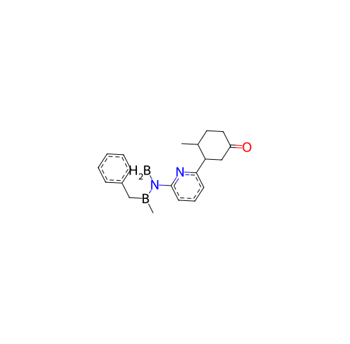 BN(B(C)Cc1ccccc1)c1cccc(C2CC(=O)CCC2C)n1